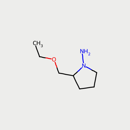 CCOCC1CCCN1N